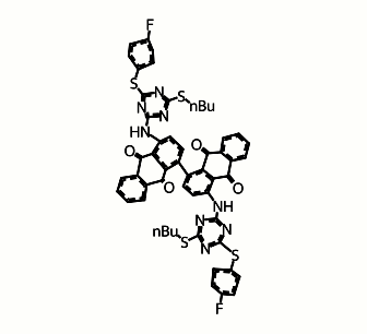 CCCCSc1nc(Nc2ccc(-c3ccc(Nc4nc(SCCCC)nc(Sc5ccc(F)cc5)n4)c4c3C(=O)c3ccccc3C4=O)c3c2C(=O)c2ccccc2C3=O)nc(Sc2ccc(F)cc2)n1